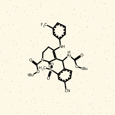 CC(C)(C)OC(=O)[AsH]C(C1=C(Nc2cccc(C(F)(F)F)c2)CCN(C(=O)OC(C)(C)C)C1=O)c1ccc(C#N)cc1S(C)(=O)=O